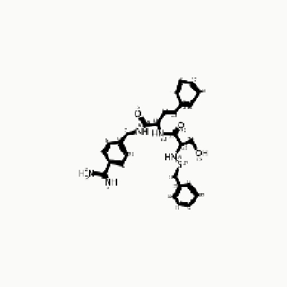 N=C(N)c1ccc(CNC(=O)C(CCc2ccccc2)NC(=O)C(CO)NSCc2ccccc2)cc1